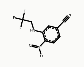 N#Cc1ccc([N+](=O)[O-])c(NCC(F)(F)F)c1